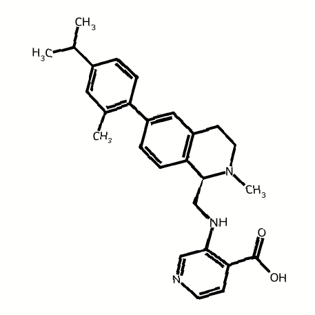 Cc1cc(C(C)C)ccc1-c1ccc2c(c1)CCN(C)[C@H]2CNc1cnccc1C(=O)O